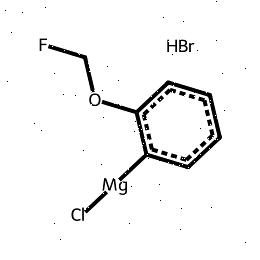 Br.FCOc1cccc[c]1[Mg][Cl]